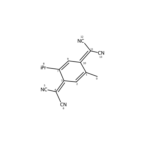 Cc1cc(=C(C#N)C#N)c(C(C)C)cc1=C(C#N)C#N